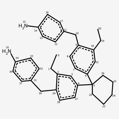 CCc1cc(C2(c3ccc(Cc4ccc(N)cc4)c(CC)c3)CCCCC2)ccc1Cc1ccc(N)cc1